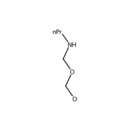 CCCNCOC[O]